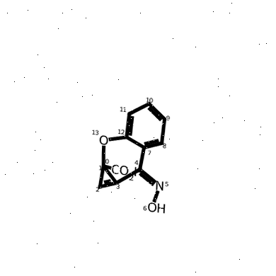 O=C(O)C12C=C1/C(=N\O)c1ccccc1O2